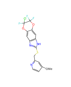 COc1ccnc(CSc2nc3cc4c(cc3[nH]2)OC(F)(F)C(F)(Cl)O4)c1